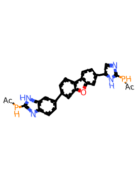 CC(=O)Pc1ncc(-c2ccc3c(c2)oc2cc(-c4ccc5nc(PC(C)=O)[nH]c5c4)ccc23)[nH]1